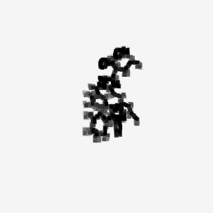 CCCCCCc1nc(C(CCC)C(=O)O)nn1Cc1ccc(-c2ccccc2-c2nnn[nH]2)cc1